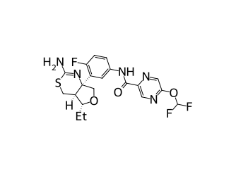 CC[C@H]1OC[C@]2(c3cc(NC(=O)c4cnc(OC(F)F)cn4)ccc3F)N=C(N)SC[C@H]12